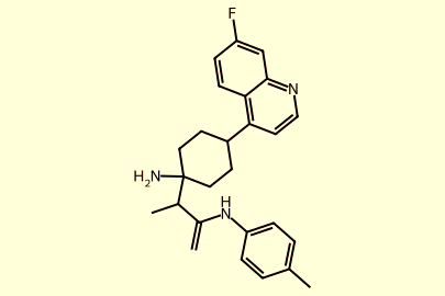 C=C(Nc1ccc(C)cc1)C(C)C1(N)CCC(c2ccnc3cc(F)ccc23)CC1